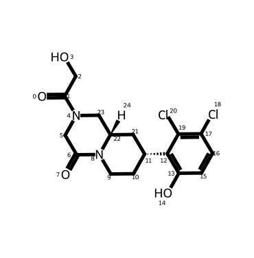 O=C(CO)N1CC(=O)N2CC[C@@H](c3c(O)ccc(Cl)c3Cl)C[C@H]2C1